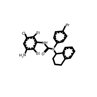 CCc1c(N)cc(Cl)c(CC)c1NC(=O)N(c1ccc(C(C)C)cc1)C1CCCc2ccccc21